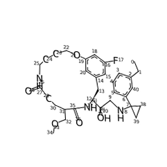 CCc1cccc(C2(NC[C@@H](O)[C@@H]3Cc4cc(F)cc(c4)OCCCCNC(=O)CCC(COC)C(=O)N3)CC2)c1